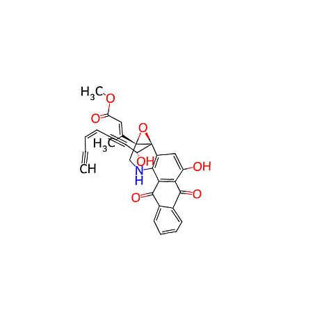 C#C/C=C\C#C[C@@H](O)[C@]12O[C@@]1(/C(C)=C/C(=O)OC)CNc1c2cc(O)c2c1C(=O)c1ccccc1C2=O